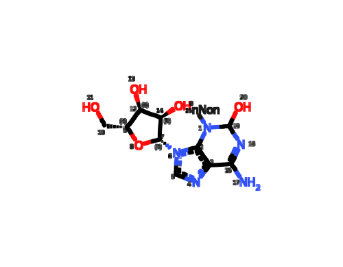 CCCCCCCCCN1c2c(ncn2[C@@H]2O[C@H](CO)[C@@H](O)[C@H]2O)C(N)=NC1O